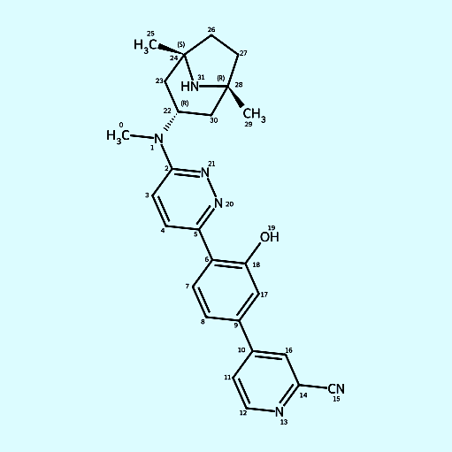 CN(c1ccc(-c2ccc(-c3ccnc(C#N)c3)cc2O)nn1)[C@@H]1C[C@]2(C)CC[C@](C)(C1)N2